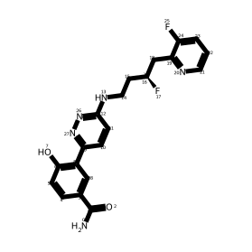 NC(=O)c1ccc(O)c(-c2ccc(NCC[C@H](F)Cc3ncccc3F)nn2)c1